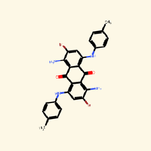 Cc1ccc(Nc2cc(Br)c(N)c3c2C(=O)c2c(N)c(Br)cc(Nc4ccc(C)cc4)c2C3=O)cc1